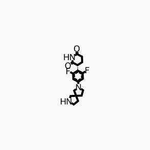 O=C1CC[C@H](c2c(F)cc(N3CCC4(CCNC4)C3)cc2F)C(=O)N1